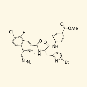 C=N/N=C\N(N)c1ccc(Cl)c(F)c1/C=C/C(=O)N[C@@H](Cc1ccn(CC)n1)C(=O)Nc1ccc(C(=O)OC)cn1